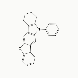 c1ccc(-n2c3c(c4cc5oc6ccccc6c5cc42)CCCC3)cc1